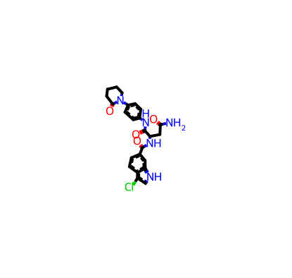 NC(=O)CC(NC(=O)c1ccc2c(Cl)c[nH]c2c1)C(=O)Nc1ccc(N2CCCCC2=O)cc1